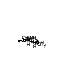 C=Cc1cc(C(=O)N[C@@H](CCCCNC(=O)OC(C)(C)C)C(=O)NN)ccc1/C=C/C1CCC1